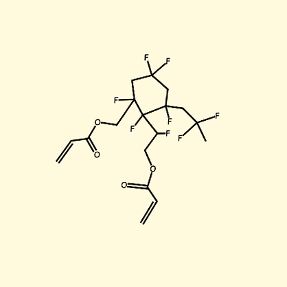 C=CC(=O)OCC(F)C1(F)C(F)(COC(=O)C=C)CC(F)(F)CC1(F)CC(C)(F)F